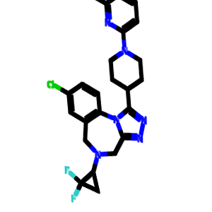 N#Cc1cccc(N2CCC(c3nnc4n3-c3ccc(Cl)cc3CN(C3CC3(F)F)C4)CC2)n1